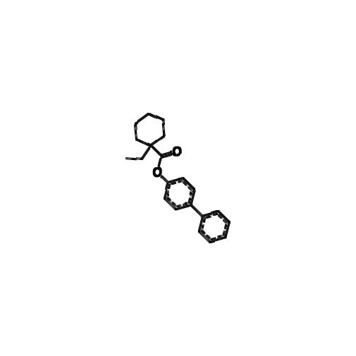 CCC1(C(=O)Oc2ccc(-c3ccccc3)cc2)CCCCC1